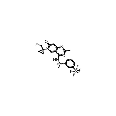 Cc1nc(N[C@H](C)c2cccc(S(F)(F)(F)(F)F)c2)c2cn(C3(CF)CC3)c(=O)cc2n1